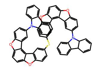 C1=CC2c3ccccc3N(c3ccc4oc5ccc6oc7ccc(Sc8ccc9oc%10ccc%11oc%12ccc(-n%13c%14ccccc%14c%14ccccc%14%13)cc%12c%11c%10c9c8)cc7c6c5c4c3)C2C=C1